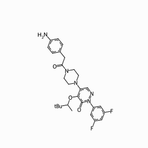 CC(Oc1c(N2CCN(C(=O)Cc3ccc(N)cc3)CC2)cnn(-c2cc(F)cc(F)c2)c1=O)C(C)(C)C